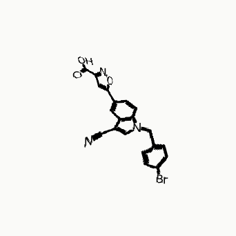 N#Cc1cn(Cc2ccc(Br)cc2)c2ccc(-c3cc(C(=O)O)no3)cc12